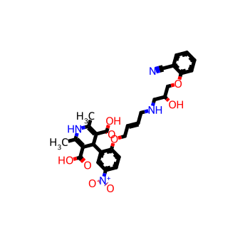 CC1=C(C(=O)O)C(c2cc([N+](=O)[O-])ccc2OC/C=C/CNCC(O)COc2ccccc2C#N)C(C(=O)O)=C(C)N1